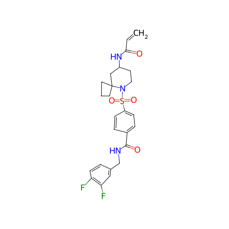 C=CC(=O)NC1CCN(S(=O)(=O)c2ccc(C(=O)NCc3ccc(F)c(F)c3)cc2)C2(CCC2)C1